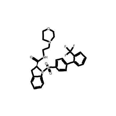 O=C(NCCN1CCOCC1)[C@@H]1Cc2ccccc2N1S(=O)(=O)c1ccc(-c2ccccc2C(F)(F)F)cc1